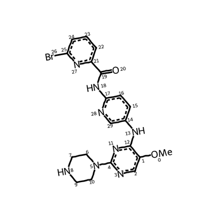 COc1cnc(N2CCNCC2)nc1Nc1ccc(NC(=O)c2cccc(Br)n2)nc1